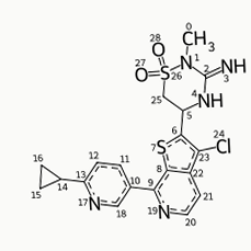 CN1C(=N)NC(c2sc3c(-c4ccc(C5CC5)nc4)nccc3c2Cl)CS1(=O)=O